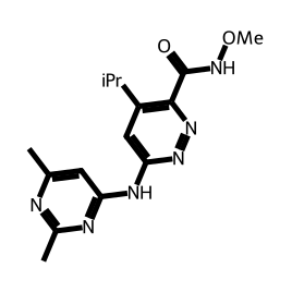 CONC(=O)c1nnc(Nc2cc(C)nc(C)n2)cc1C(C)C